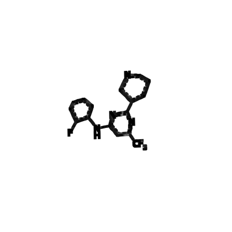 Fc1ccccc1Nc1cc(C(F)(F)F)nc(-c2cccnc2)n1